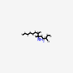 CCCCCCC(C)C(C)(N)CCC(C)CC